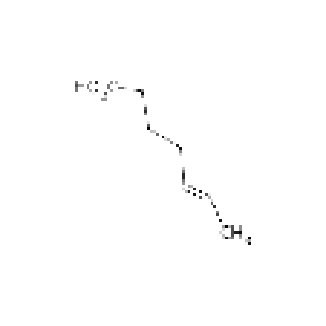 CC=CCCCC(=O)O